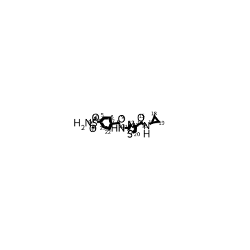 NS(=O)(=O)c1ccc(C(=O)Nc2nc(C(=O)NC3CC3)cs2)cc1